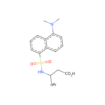 CCCC(CC(=O)O)NS(=O)(=O)c1cccc2c(N(C)C)cccc12